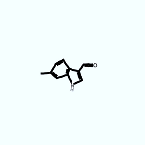 Cc1ccc2c(C=O)c[nH]c2c1